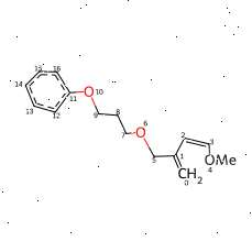 C=C(/C=C\OC)COCCCOc1ccccc1